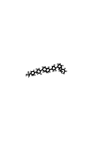 FC(F)(F)c1ccc(-c2ccc(-c3ccc4cc(-c5ccc(-c6cccc7c6sc6ccccc67)cc5)cnc4c3)cc2)cc1